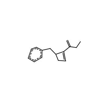 C=C(CC)C1=CCC1Cc1ccccc1